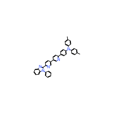 Cc1ccc(N(c2ccc(C)cc2)c2ccc(-c3ccc(-c4ccc(-c5nc6ccccc6n5-c5ccccc5)nc4)cn3)cc2)cc1